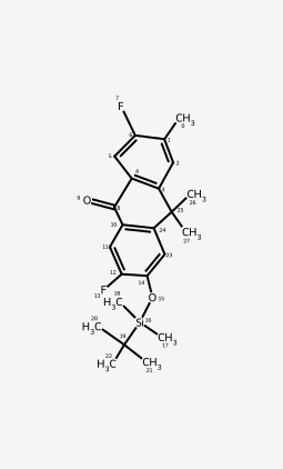 Cc1cc2c(cc1F)C(=O)c1cc(F)c(O[Si](C)(C)C(C)(C)C)cc1C2(C)C